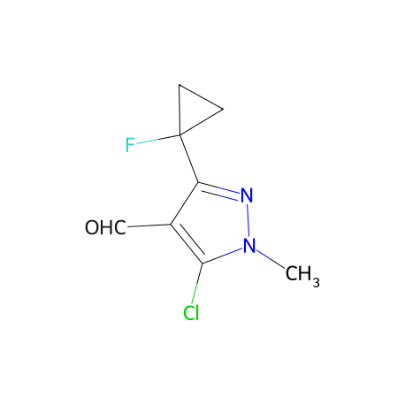 Cn1nc(C2(F)CC2)c(C=O)c1Cl